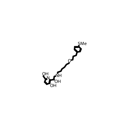 CSc1ccc(CCCOCCCCCCNCC(O)c2nc(CO)ccc2O)cc1